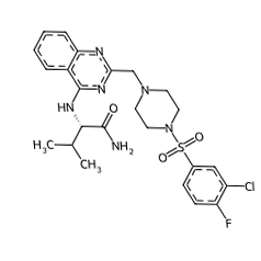 CC(C)[C@H](Nc1nc(CN2CCN(S(=O)(=O)c3ccc(F)c(Cl)c3)CC2)nc2ccccc12)C(N)=O